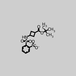 CC(C)(C)OC(=O)C1CC(NS(=O)(=O)c2ccccc2[N+](=O)[O-])C1